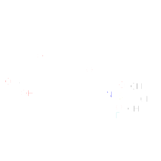 CC(C)(C)S(=O)(=O)N=C(CF)c1cccc(-c2cc(COc3ccccc3CC(=O)O)cc3ccoc23)c1